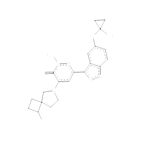 Cn1nc(-c2n[nH]c3ccc(OC4(C)CC4)cc23)cc(N2CCC3(CCC3O)C2)c1=O